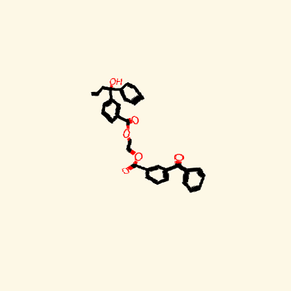 CCCC(O)(c1ccccc1)c1cccc(C(=O)OCCOC(=O)c2cccc(C(=O)c3ccccc3)c2)c1